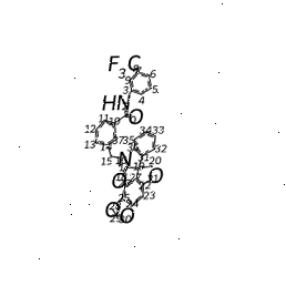 O=C(Nc1cccc(C(F)(F)F)c1)c1cccc(CN2C(=O)C3(COc4cc5c(cc43)OCO5)c3ccccc32)c1